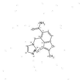 Cc1oc2ccc(C(N)=O)c(Cn3ccnc3)c2c1C